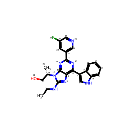 CCNc1nc2c(-c3c[nH]c4ccccc34)nc(-c3cncc(F)c3)nc2n1[C@@H](C)CO